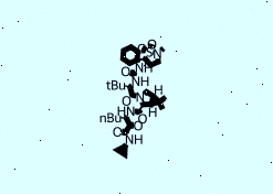 CCCC[C@H](NC(=O)[C@@H]1[C@@H]2[C@H](CN1C(=O)[C@@H](NC(=O)NC1([C@@H]3CCN(C)S3(=O)=O)CCCCC1)C(C)(C)C)C2(C)C)C(=O)C(=O)NC1CC1